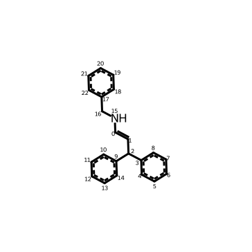 C(=CC(c1ccccc1)c1ccccc1)NCc1ccccc1